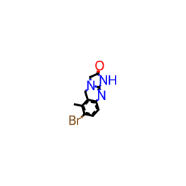 Cc1c(Br)ccc2c1CN1CC(=O)NC1=N2